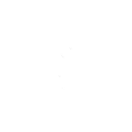 CCC(Sc1nc(C)cc2c1c(=O)cc(Nc1ccccc1)n2-c1ccccc1)C(=O)O